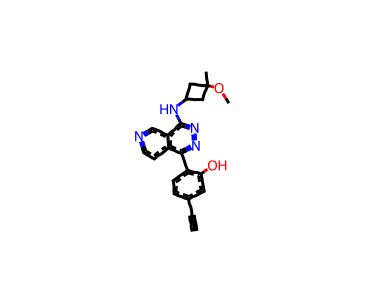 C#Cc1ccc(-c2nnc(NC3CC(C)(OC)C3)c3cnccc23)c(O)c1